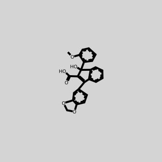 COc1ccccc1C1(O)C(C(=O)O)=C(c2ccc3c(c2)OCO3)c2ccccc21